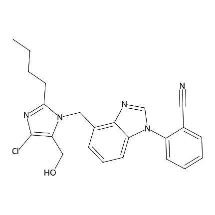 CCCCc1nc(Cl)c(CO)n1Cc1cccc2c1ncn2-c1ccccc1C#N